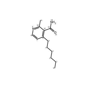 CCCCCCc1ccnc(C)c1C(N)=O